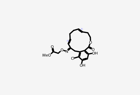 COC(=O)CON=C1/C=C/CC/C=C/CCOC(=O)c2c(O)cc(O)c(Cl)c2C1